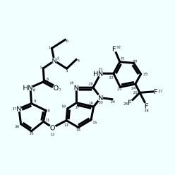 CCN(CC)CC(=O)Nc1cc(Oc2ccc3c(c2)nc(Nc2cc(C(F)(F)F)ccc2F)n3C)ccn1